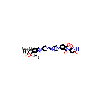 CNc1cc2cn(C3CCN(CCN4CCN(c5ccc6c(c5)C(=O)N(C5CCC(=O)NC5=O)C6=O)CC4)CC3)nc2cc1C(C)(C)O